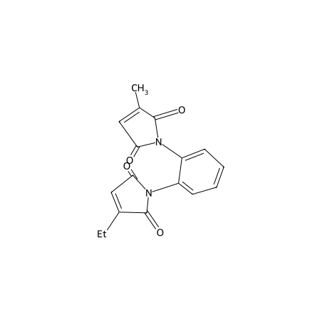 CCC1=CC(=O)N(c2ccccc2N2C(=O)C=C(C)C2=O)C1=O